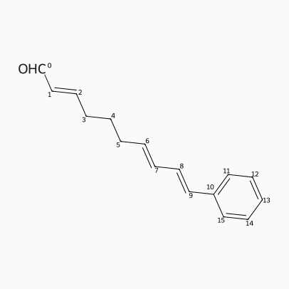 O=C/C=C/CCC/C=C/C=C/c1ccccc1